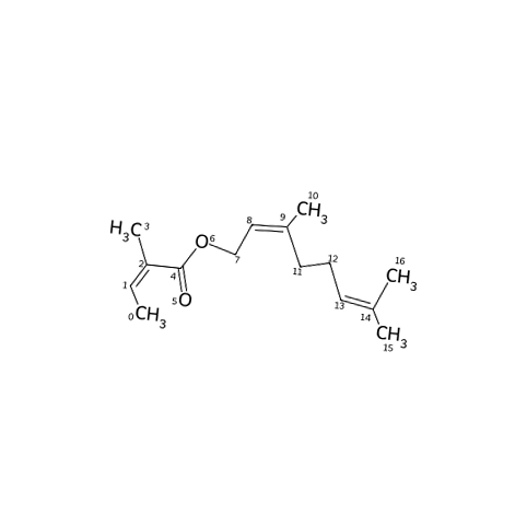 CC=C(C)C(=O)OCC=C(C)CCC=C(C)C